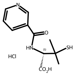 CC(C)(S)[C@@H](NC(=O)c1cccnc1)C(=O)O.Cl